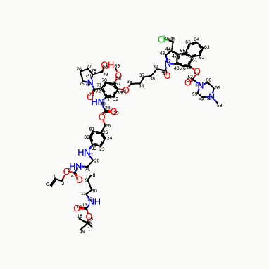 C=CCOC(=O)N[C@@H](CCCCNC(=O)OC(C)(C)C)CNc1ccc(COC(=O)Nc2cc(OCCCCCC(=O)N3C[C@@H](CCl)c4c3cc(OC(=O)N3CCN(C)CC3)c3ccccc43)c(OC)cc2C(=O)N2CCC[C@H]2CO)cc1